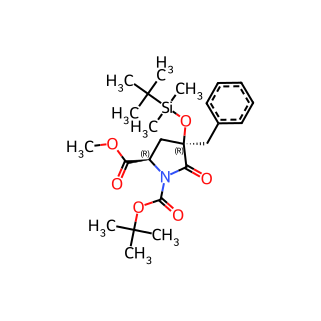 COC(=O)[C@H]1C[C@@](Cc2ccccc2)(O[Si](C)(C)C(C)(C)C)C(=O)N1C(=O)OC(C)(C)C